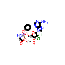 CC(C)OC(=O)[C@H](C)N[P@](=S)(OC[C@H]1O[C@@H](n2cnc3c(N)ncnc32)C(Cl)(Cl)[C@@H]1O)Oc1ccccc1